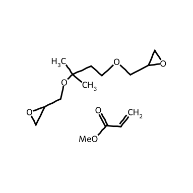 C=CC(=O)OC.CC(C)(CCOCC1CO1)OCC1CO1